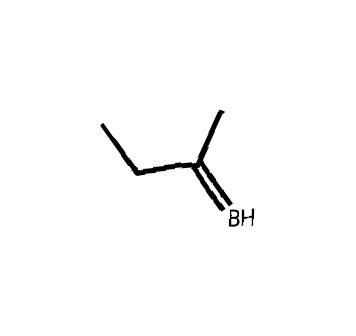 B=C(C)CC